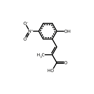 C/C(=C\c1cc([N+](=O)[O-])ccc1O)C(=O)O